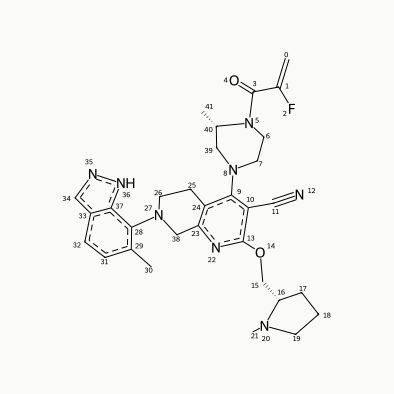 C=C(F)C(=O)N1CCN(c2c(C#N)c(OC[C@@H]3CCCN3C)nc3c2CCN(c2c(C)ccc4cn[nH]c24)C3)C[C@@H]1C